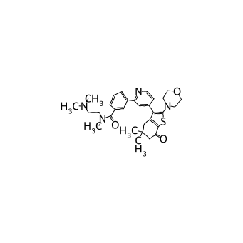 CN(C)CCN(C)C(=O)c1cccc(-c2cc(-c3c(N4CCOCC4)sc4c3CC(C)(C)CC4=O)ccn2)c1